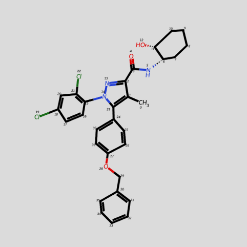 Cc1c(C(=O)N[C@H]2CCCC[C@H]2O)nn(-c2ccc(Cl)cc2Cl)c1-c1ccc(OCc2ccccc2)cc1